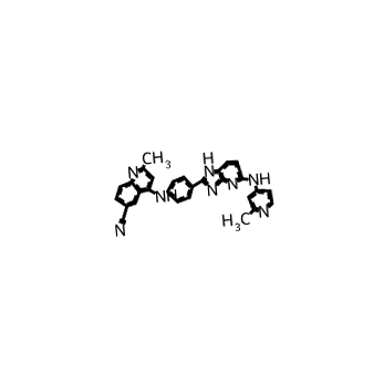 Cc1cc(Nc2ccc3[nH]c(-c4ccc(Nc5cc(C)nc6ccc(C#N)cc56)cc4)nc3n2)ccn1